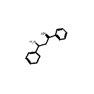 N=C(CC(N)C1=CC=CCC1)c1ccccc1